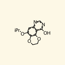 CC(C)Oc1cc2ncnc(O)c2c2c1OCCO2